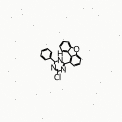 ClC1=NC(c2ccccc2)NC(c2cccc3oc4ccccc4c23)=N1